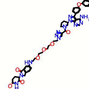 Nc1ncnc2c1c(-c1ccc(Oc3ccccc3)cc1)nn2[C@@H]1CCCN(C(=O)c2cn(CCOCCOCCOCCNc3ccc4c(c3)C(=O)N(C3CCC(=O)NC3=O)C4)nn2)C1